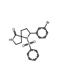 O=C1NCCC12CCC(c1cccc(Br)c1)N2S(=O)(=O)c1ccccc1